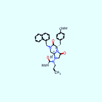 C=CCN(C(=O)NC)N1CC(=O)N2[C@@H](Cc3ccc(OC)cc3)C(=O)N(Cc3cccc4ccccc34)C[C@@H]21